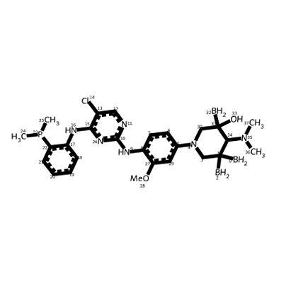 BC1(B)CN(c2ccc(Nc3ncc(Cl)c(Nc4ccccc4P(C)C)n3)c(OC)c2)CC(B)(O)C1N(C)C